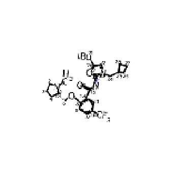 CN1CCC[C@H]1COc1ccc(C(F)(F)F)cc1C(=O)/N=c1\oc(C(C)(C)C)cn1CC1CCC1